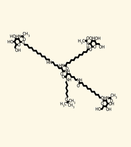 CC(=O)NC1C(OCCCCCCCCCCCCNCCCCC(NC(=O)CCCCCCCCCCCOC2OC(CO)C(O)C(O)C2NC(C)=O)C(=O)NC(CCCCNC(=O)CCCCCCCCCCOC2OC(CO)C(O)C(O)C2NC(C)=O)C(=O)NCCCCCCOC(C)(C)C)OC(CO)C(O)C1O